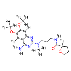 [2H]c1c(OC([2H])([2H])[2H])c(OC([2H])([2H])[2H])c([2H])c2c(N([2H])[2H])nc(N(CCCN([2H])C(=O)C3([2H])CCCO3)C([2H])([2H])[2H])nc12